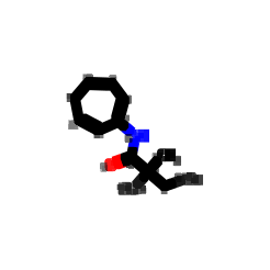 CC(C)(C)CC(C)(C(=O)NC1=CC=CCC=C1)C(C)(C)C